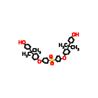 CC(C)(c1ccc(O)cc1)c1ccc(Oc2ccc(S(=O)(=O)c3ccc(Oc4ccc(C(C)(C)c5ccc(O)cc5)cc4)cc3)cc2)cc1